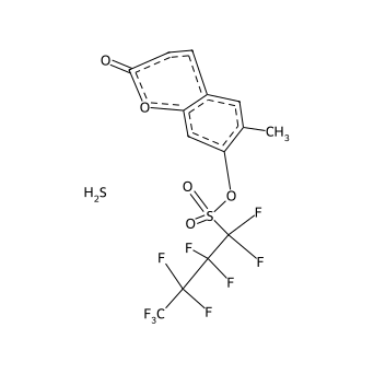 Cc1cc2ccc(=O)oc2cc1OS(=O)(=O)C(F)(F)C(F)(F)C(F)(F)C(F)(F)F.S